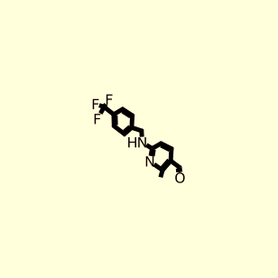 Cc1nc(NCc2ccc(C(F)(F)F)cc2)ccc1C=O